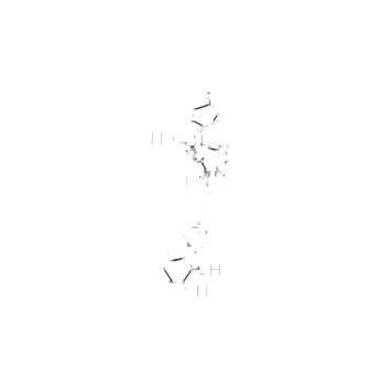 Cc1cccc(N2CCN(CCCNc3ncnc4c3nc(C)n4-c3ccc(F)cc3)CC2)c1C